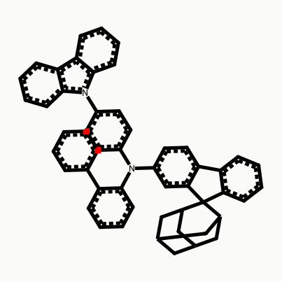 c1ccc(-c2ccccc2N(c2ccc(-n3c4ccccc4c4ccccc43)cc2)c2ccc3c(c2)C2(c4ccccc4-3)C3CC4CC(C3)CC2C4)cc1